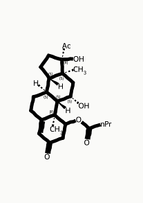 CCCC(=O)OC1CC(=O)C=C2CC[C@@H]3[C@H]([C@@H](O)C[C@@]4(C)[C@H]3CC[C@]4(O)C(C)=O)[C@]21C